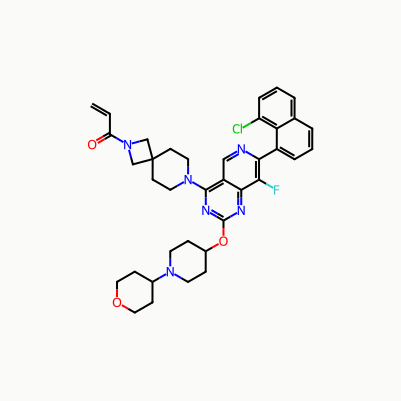 C=CC(=O)N1CC2(CCN(c3nc(OC4CCN(C5CCOCC5)CC4)nc4c(F)c(-c5cccc6cccc(Cl)c56)ncc34)CC2)C1